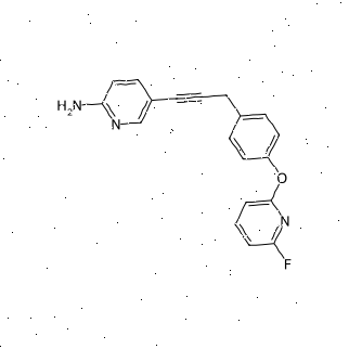 Nc1ccc(C#CCc2ccc(Oc3cccc(F)n3)cc2)cn1